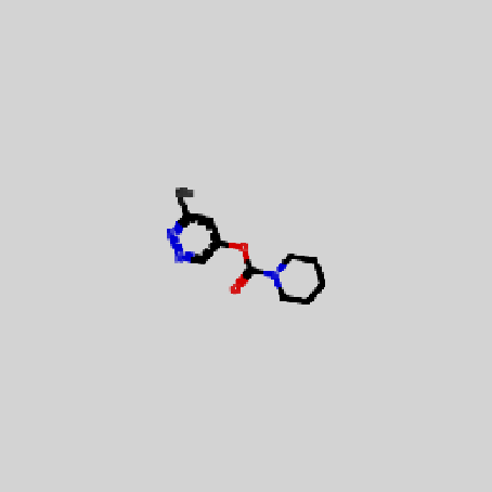 CC(C)(C)c1cc(OC(=O)N2CCCCC2)cnn1